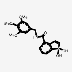 COc1cc(CNC(=O)c2cccc3c2C=CS3(O)O)cc(OC)c1OC